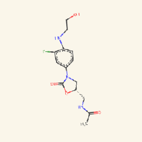 CC(=O)NC[C@H]1CN(c2ccc(NCCO)c(F)c2)C(=O)O1